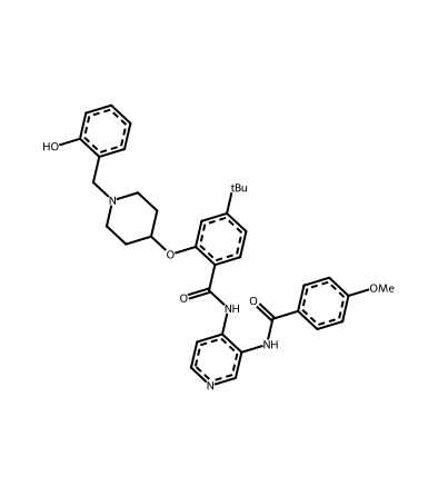 COc1ccc(C(=O)Nc2cnccc2NC(=O)c2ccc(C(C)(C)C)cc2OC2CCN(Cc3ccccc3O)CC2)cc1